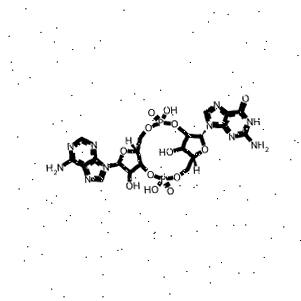 Nc1nc2c(ncn2[C@@H]2O[C@@H]3COP(=O)(O)OC4C(O)C(n5cnc6c(N)ncnc65)O[C@@H]4COP(=O)(O)OC2C3O)c(=O)[nH]1